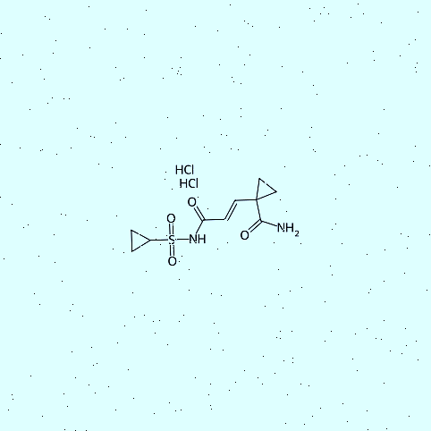 Cl.Cl.NC(=O)C1(C=CC(=O)NS(=O)(=O)C2CC2)CC1